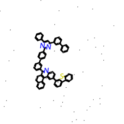 c1ccc(-c2cccc(-c3cc(-c4ccccc4)nc(-c4ccc(-c5cccc(-c6nc7ccc(-c8cccc9c8sc8ccccc89)cc7c7c6ccc6ccccc67)c5)cc4)n3)c2)cc1